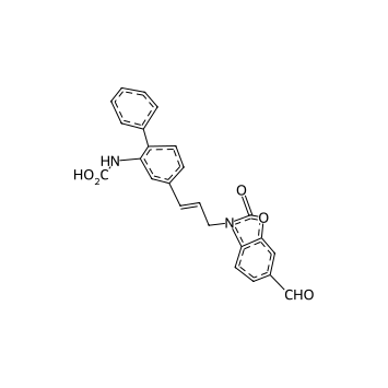 O=Cc1ccc2c(c1)oc(=O)n2C/C=C/c1ccc(-c2ccccc2)c(NC(=O)O)c1